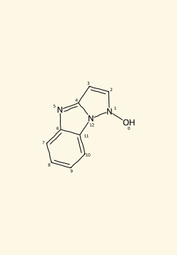 On1ccc2nc3ccccc3n21